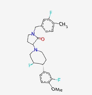 COc1ccc([C@H]2CCN(C3CCN(Cc4ccc(C)c(F)c4)C3=O)C[C@@H]2F)cc1F